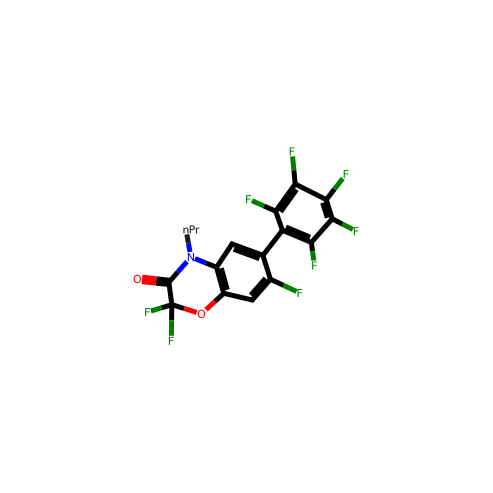 CCCN1C(=O)C(F)(F)Oc2cc(F)c(-c3c(F)c(F)c(F)c(F)c3F)cc21